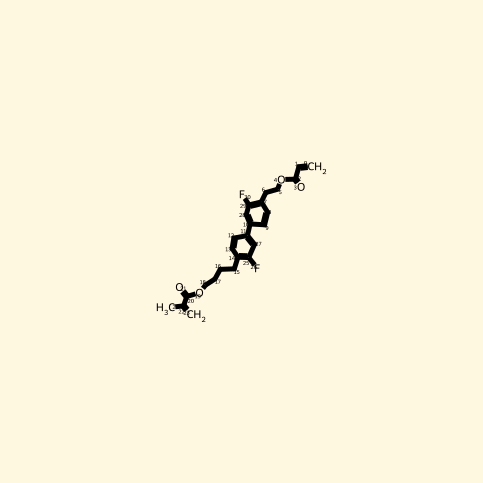 C=CC(=O)OCCc1ccc(-c2ccc(CCCCOC(=O)C(=C)C)c(F)c2)cc1F